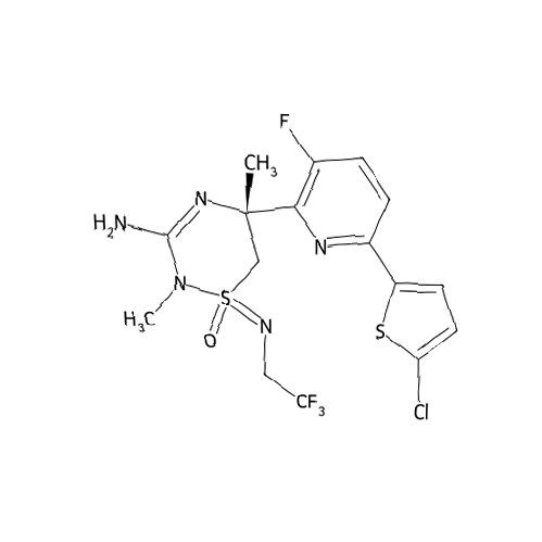 CN1C(N)=N[C@](C)(c2nc(-c3ccc(Cl)s3)ccc2F)CS1(=O)=NCC(F)(F)F